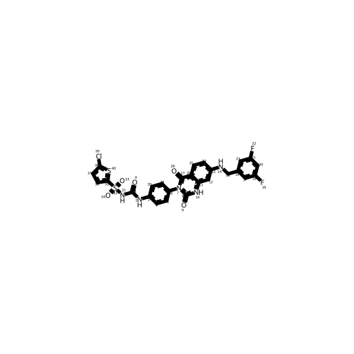 O=C(Nc1ccc(-n2c(=O)[nH]c3cc(NCc4cc(F)cc(F)c4)ccc3c2=O)cc1)NS(=O)(=O)c1ccc(Cl)s1